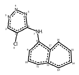 Clc1cnnnc1Nc1cccc2ccccc12